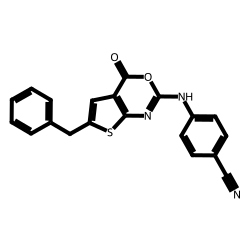 N#Cc1ccc(Nc2nc3sc(Cc4ccccc4)cc3c(=O)o2)cc1